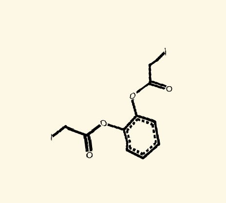 O=C(CI)Oc1ccccc1OC(=O)CI